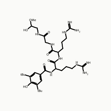 COC(O)CNC(=O)CNC(=O)C(CCCNC(=N)N)NC(=O)C(CCCNC(=N)N)NC(=O)c1cc(C(C)(C)C)c(O)c(C(C)(C)C)c1